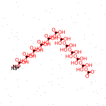 O=C(O)O.O=C(O)O.O=C(O)O.O=C(O)O.O=C(O)O.O=C(O)O.O=C(O)O.O=C(O)O.O=C(O)O.O=C(O)O.O=C(O)O.O=C([O-])[O-].[Na+].[Na+]